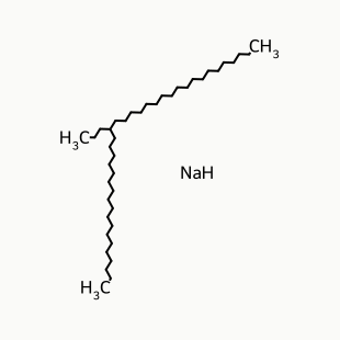 CCCCCCCCCCCCCCCCCCCC(CCC)CCCCCCCCCCCCCCCCCC.[NaH]